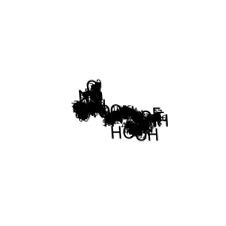 C=CC(=O)N1CCN(c2nc(OC[C@@H]3C[C@@H](N(C)C(=O)C4CCN(Cc5ccc(-n6c(C(=O)NCC(F)(F)F)nnc6-c6cc(C(C)C)c(O)cc6O)cc5)CC4)CN3C)nc3c2CCN(c2cccc4cccc(Cl)c24)C3)C[C@@H]1CC#N